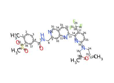 Cc1ccc(C(=O)NCc2cc3nc(-c4nc(N5C[C@@H](C)O[C@@H](C)C5)ccc4C(F)(F)F)ccc3cn2)cc1S(C)(=O)=O